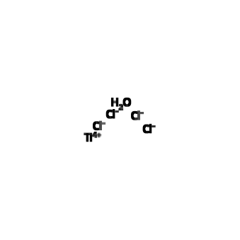 O.[Cl-].[Cl-].[Cl-].[Cl-].[Ti+4]